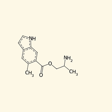 Cc1cc2cc[nH]c2cc1C(=O)OCC(C)N